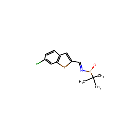 CC(C)(C)[S@+]([O-])N=Cc1cc2ccc(F)cc2s1